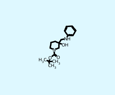 CC(C)(C)OC(=O)N1CCCC(O)(CNc2ccccc2)C1